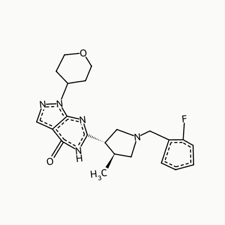 C[C@@H]1CN(Cc2ccccc2F)C[C@H]1c1nc2c(cnn2C2CCOCC2)c(=O)[nH]1